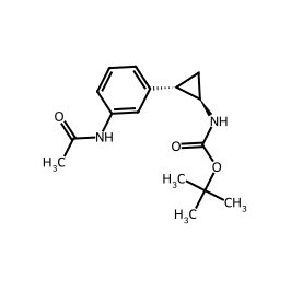 CC(=O)Nc1cccc([C@@H]2C[C@H]2NC(=O)OC(C)(C)C)c1